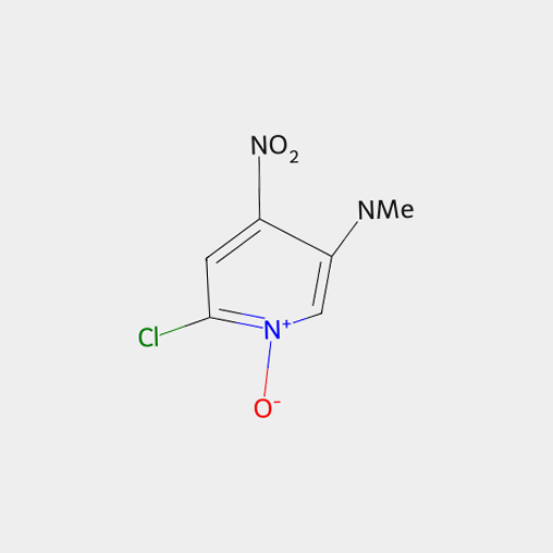 CNc1c[n+]([O-])c(Cl)cc1[N+](=O)[O-]